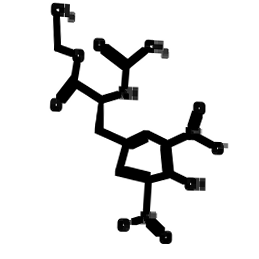 CCOC(=O)[C@H](Cc1cc([N+](=O)[O-])c(O)c([N+](=O)[O-])c1)NC(C)=O